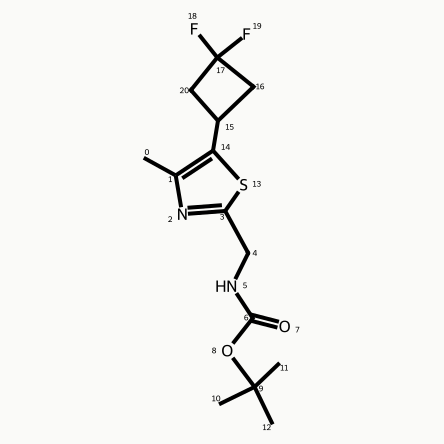 Cc1nc(CNC(=O)OC(C)(C)C)sc1C1CC(F)(F)C1